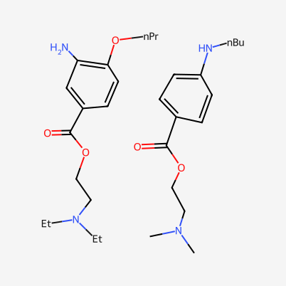 CCCCNc1ccc(C(=O)OCCN(C)C)cc1.CCCOc1ccc(C(=O)OCCN(CC)CC)cc1N